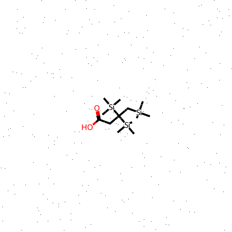 C[Si](C)(C)CC(CC(=O)O)([Si](C)(C)C)[Si](C)(C)C